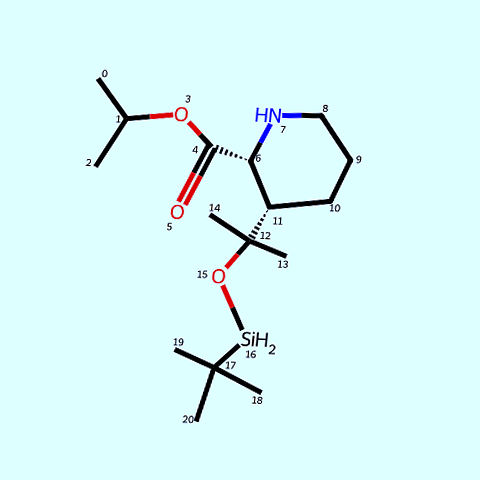 CC(C)OC(=O)[C@@H]1NCCC[C@@H]1C(C)(C)O[SiH2]C(C)(C)C